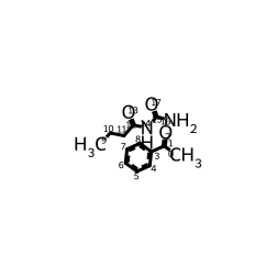 CC(=O)c1ccccc1.CCCC(=O)NC(N)=O